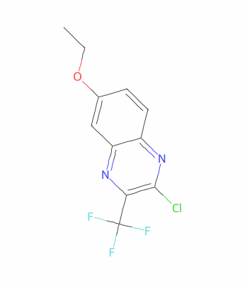 CCOc1ccc2nc(Cl)c(C(F)(F)F)nc2c1